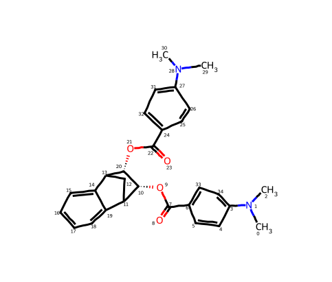 CN(C)c1ccc(C(=O)O[C@@H]2C3CC(c4ccccc43)[C@@H]2OC(=O)c2ccc(N(C)C)cc2)cc1